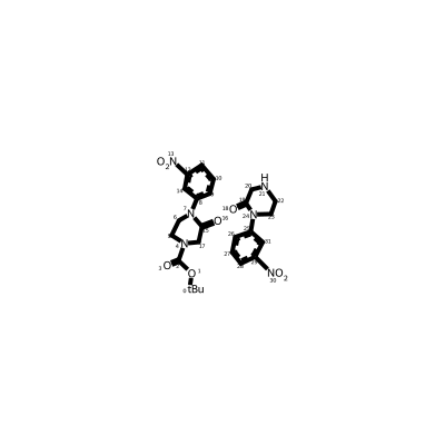 CC(C)(C)OC(=O)N1CCN(c2cccc([N+](=O)[O-])c2)C(=O)C1.O=C1CNCCN1c1cccc([N+](=O)[O-])c1